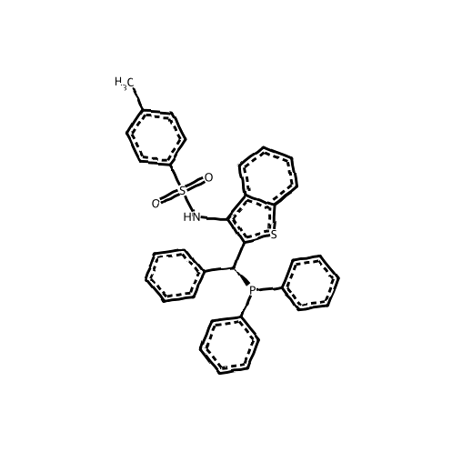 Cc1ccc(S(=O)(=O)Nc2c([C@H](c3ccccc3)P(c3ccccc3)c3ccccc3)sc3ccccc23)cc1